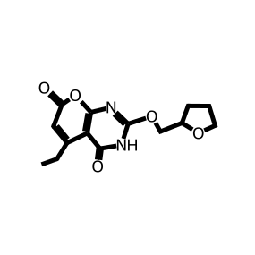 CCc1cc(=O)oc2nc(OCC3CCCO3)[nH]c(=O)c12